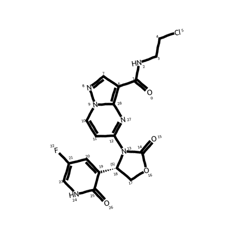 O=C(NCCCl)c1cnn2ccc(N3C(=O)OC[C@@H]3c3cc(F)c[nH]c3=O)nc12